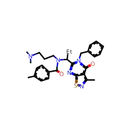 CCC(c1nc2snc(C)c2c(=O)n1Cc1ccccc1)N(CCCN(C)C)C(=O)c1ccc(C)cc1